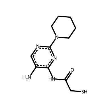 Nc1cnc(N2CCCCC2)nc1NC(=O)CS